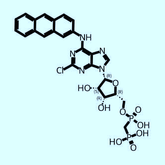 O=P(O)(O)CP(=O)(O)OC[C@H]1O[C@@H](n2cnc3c(Nc4ccc5cc6ccccc6cc5c4)nc(Cl)nc32)[C@@H](O)[C@H]1O